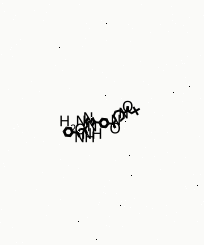 CC(C)(C)CC(=O)N1CCCN(C(=O)c2ccc(-c3cnc(N)c(C(=N)OC(=N)c4ccccc4)n3)cc2)CC1